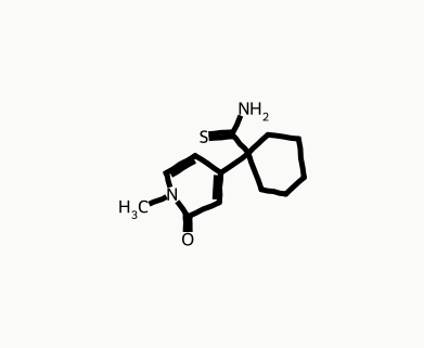 Cn1ccc(C2(C(N)=S)CCCCC2)cc1=O